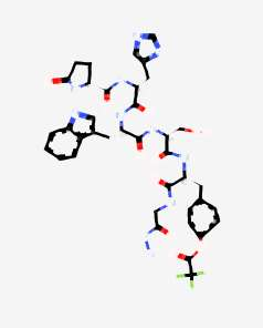 NNC(=O)CNC(=O)[C@H](Cc1ccc(OC(=O)C(F)(F)F)cc1)NC(=O)[C@H](CO)NC(=O)[C@H](Cc1c[nH]c2ccccc12)NC(=O)[C@H](Cc1c[nH]cn1)NC(=O)[C@@H]1CCC(=O)N1